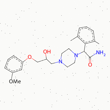 COc1cccc(OCC(O)CN2CCN(C(C(N)=O)c3c(C)cccc3C)CC2)c1